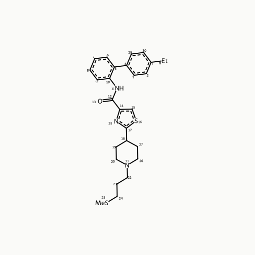 CCc1ccc(-c2ccccc2NC(=O)c2csc(C3CCN(CCCSC)CC3)n2)cc1